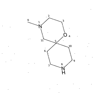 CN1CCOC2(CCNCC2)C1